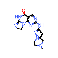 CN1CCn2nc(Nc3ncc4c(n3)N3CCN=C3NC4=O)cc2C1